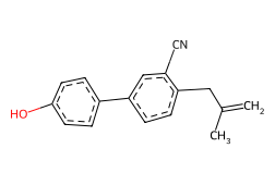 C=C(C)Cc1ccc(-c2ccc(O)cc2)cc1C#N